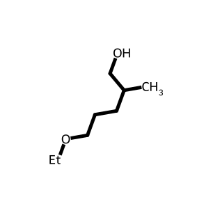 CCOCCCC(C)CO